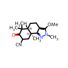 [C-]#[N+]C1C[C@]2(C)c3nn(C)c(OC)c3CC[C@H]2C(C)(C)C1=O